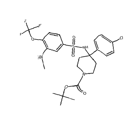 CNc1cc(S(=O)(=O)NC2(c3ccc(Cl)cc3)CCN(C(=O)OC(C)(C)C)CC2)ccc1OC(F)(F)F